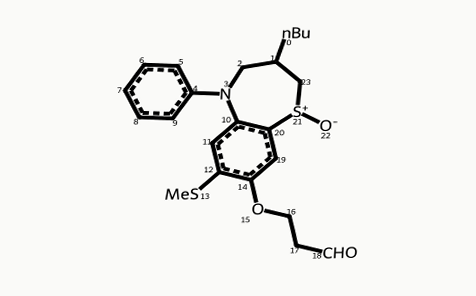 CCCCC1CN(c2ccccc2)c2cc(SC)c(OCCC=O)cc2[S+]([O-])C1